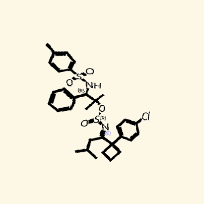 Cc1ccc(S(=O)(=O)N[C@H](c2ccccc2)C(C)(C)O[S@@](=O)/N=C(\CC(C)C)C2(c3ccc(Cl)cc3)CCC2)cc1